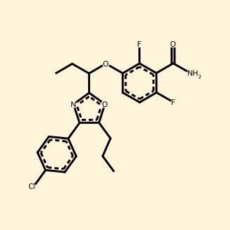 CCCc1oc(C(CC)Oc2ccc(F)c(C(N)=O)c2F)nc1-c1ccc(Cl)cc1